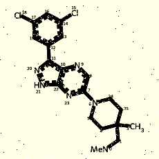 CNCC1(C)CCN(c2cnc3c(-c4cc(Cl)cc(Cl)c4)n[nH]c3n2)CC1